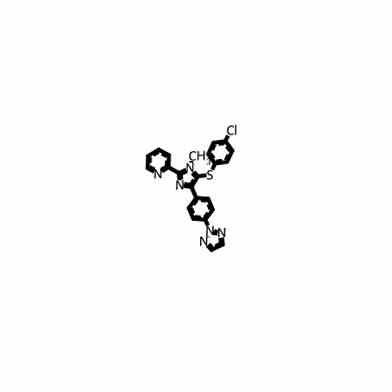 Cn1c(-c2ccccn2)nc(-c2ccc(-n3nccn3)cc2)c1Sc1ccc(Cl)cc1